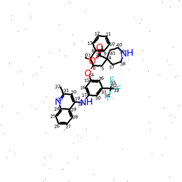 COC(=O)C1(CC(Cc2ccccc2)Oc2cc(Nc3cc(C)nc4ccccc34)cc(C(F)(F)F)c2)CCNCC1